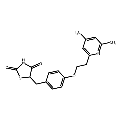 Cc1cc(C)nc(CCOc2ccc(CC3SC(=O)NC3=O)cc2)c1